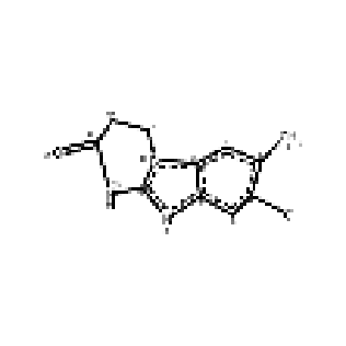 Cc1cc2c(cc1Cl)nc1n2CCC(=O)N1